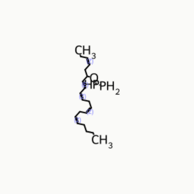 CC/C=C\CC(/C=C/C=C\C/C=C\C/C=C\CCCC)OPP